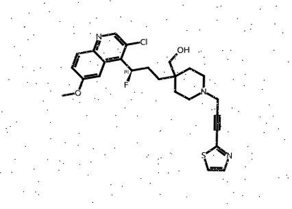 COc1ccc2ncc(Cl)c([C@H](F)CCC3(CO)CCN(CC#Cc4nccs4)CC3)c2c1